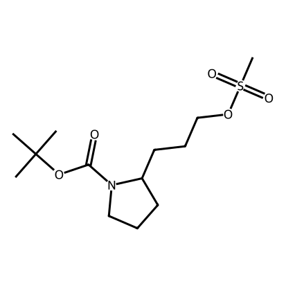 CC(C)(C)OC(=O)N1CCCC1CCCOS(C)(=O)=O